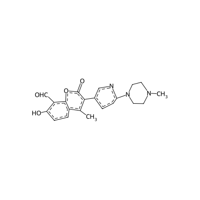 Cc1c(-c2ccc(N3CCN(C)CC3)nc2)c(=O)oc2c(C=O)c(O)ccc12